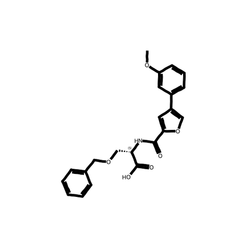 COc1cccc(-c2coc(C(=O)N[C@@H](COCc3ccccc3)C(=O)O)c2)c1